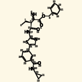 CC[C@@H](C(=N)C(=O)OCc1ccccc1)C(=O)Nc1ncc(-c2cccc(C(=O)NC3CC3)c2)s1